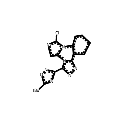 CC(C)(C)c1nc(-c2nnc3c4ccccc4n4c(Cl)ncc4n23)no1